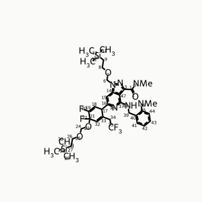 CNC(=O)c1nn(COCC[Si](C)(C)C)c2cc(C3C=C(F)C(F)(OCOCC[Si](C)(C)C)C=C3CC(F)(F)F)nc(NCc3ccccc3NC)c12